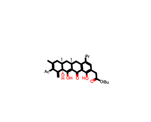 C=C1C(C(C)=O)=C(C)C[C@@]2(C)C[C@@]3(C)Cc4c(C(C)C)cc(CC(=O)OCC(C)C)c(O)c4C(=O)C3=C(O)[C@@]12O